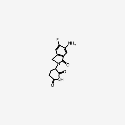 Nc1cc2c(cc1F)CN(C1CCC(=O)NC1=O)C2=O